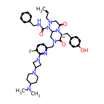 C=CCN1CC(=O)N2C(CN(Cc3ccc(F)c(N4CC(N5CCC(N(C)C)CC5)C4)n3)C(=O)[C@@H]2Cc2ccc(O)cc2)N1C(=O)NCc1ccccc1